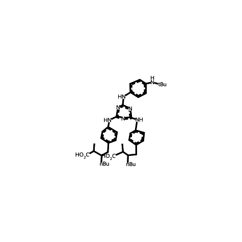 CCCCC(Cc1ccc(Nc2nc(Nc3ccc(CC(CCCC)C(C)C(=O)O)cc3)nc(Nc3ccc(NC(C)(C)C)cc3)n2)cc1)C(C)C(=O)O